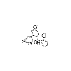 OC(c1ccccc1Cl)c1ccc(Cl)cc1-c1cncnc1